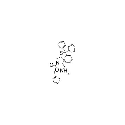 NC[C@@H]1C[C@@H](SC(c2ccccc2)(c2ccccc2)c2ccccc2)CN1C(=O)OCc1ccccc1